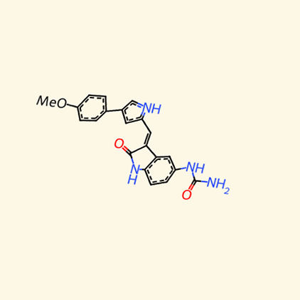 COc1ccc(-c2c[nH]c(C=C3C(=O)Nc4ccc(NC(N)=O)cc43)c2)cc1